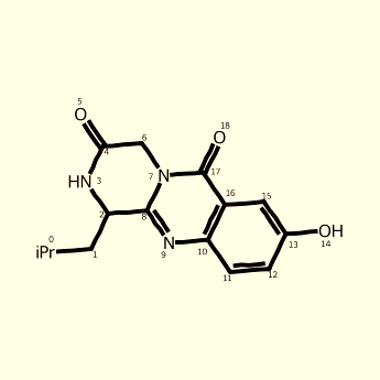 CC(C)CC1NC(=O)Cn2c1nc1ccc(O)cc1c2=O